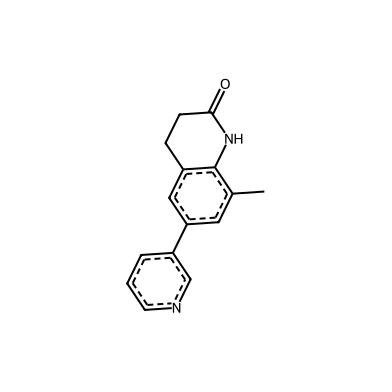 Cc1cc(-c2cccnc2)cc2c1NC(=O)CC2